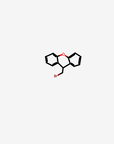 BrCC1c2ccccc2Oc2ccccc21